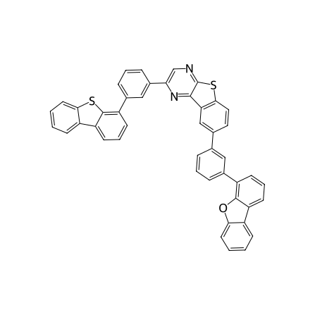 c1cc(-c2ccc3sc4ncc(-c5cccc(-c6cccc7c6sc6ccccc67)c5)nc4c3c2)cc(-c2cccc3c2oc2ccccc23)c1